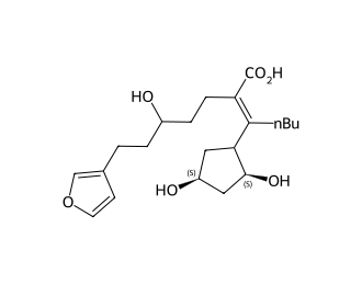 CCCCC(=C(CCC(O)CCc1ccoc1)C(=O)O)C1C[C@H](O)C[C@@H]1O